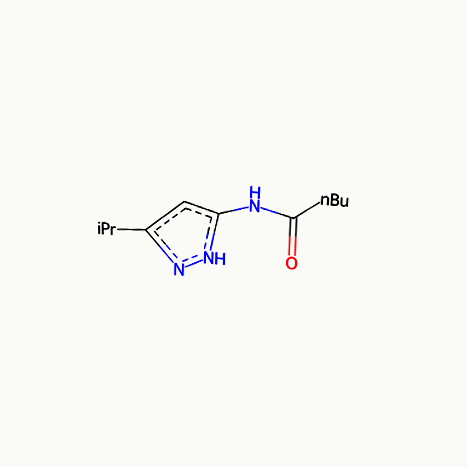 CCCCC(=O)Nc1cc(C(C)C)n[nH]1